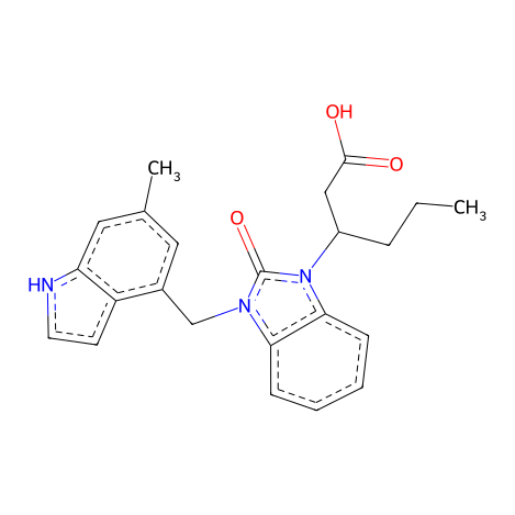 CCCC(CC(=O)O)n1c(=O)n(Cc2cc(C)cc3[nH]ccc23)c2ccccc21